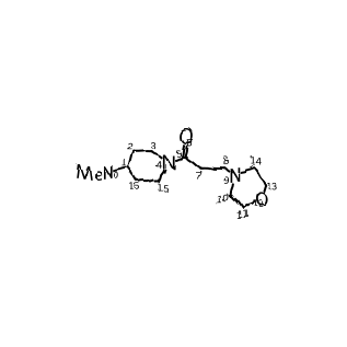 CNC1CCN(C(=O)CCN2CCOCC2)CC1